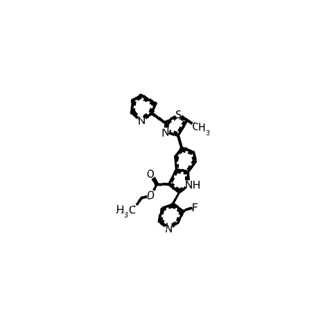 CCOC(=O)c1c(-c2ccncc2F)[nH]c2ccc(-c3nc(-c4ccccn4)sc3C)cc12